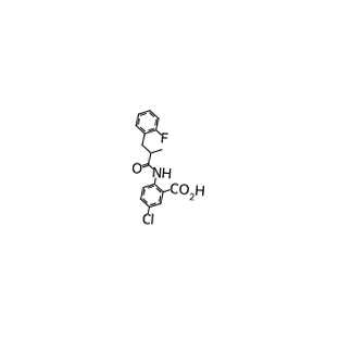 CC(Cc1ccccc1F)C(=O)Nc1ccc(Cl)cc1C(=O)O